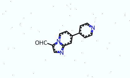 O=Cc1cnc2cc(-c3ccncc3)ccn12